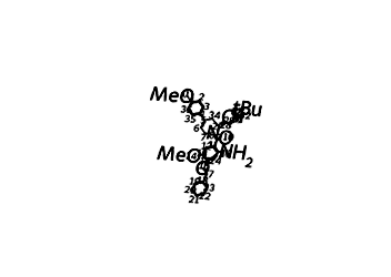 COc1ccc(C2=CCN(C(=O)c3cc(OC)c(OCc4ccccc4)cc3N)C(CO[Si](C)(C)C(C)(C)C)C2)cc1